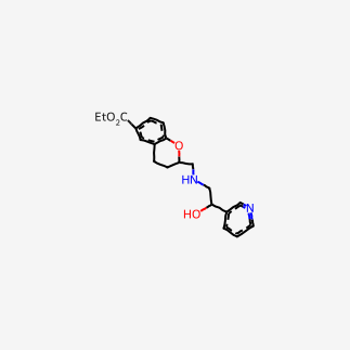 CCOC(=O)c1ccc2c(c1)CCC(CNCC(O)c1cccnc1)O2